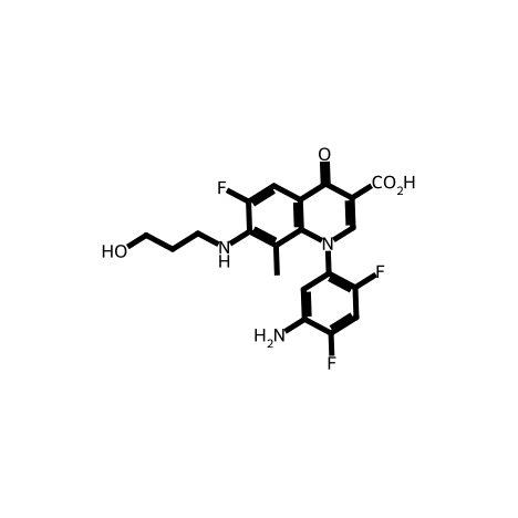 Cc1c(NCCCO)c(F)cc2c(=O)c(C(=O)O)cn(-c3cc(N)c(F)cc3F)c12